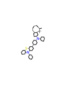 C=C1/C=C\C=C/Cc2ccc(N(c3ccccc3)c3ccc(-c4ccc5c(c4)Sc4ccccc4N5c4ccccc4)cc3)cc2C1(C)C